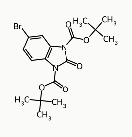 CC(C)(C)OC(=O)n1c(=O)n(C(=O)OC(C)(C)C)c2cc(Br)ccc21